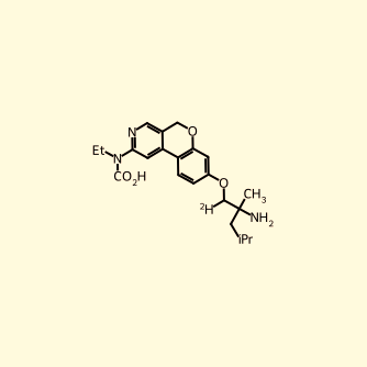 [2H]C(Oc1ccc2c(c1)OCc1cnc(N(CC)C(=O)O)cc1-2)C(C)(N)CC(C)C